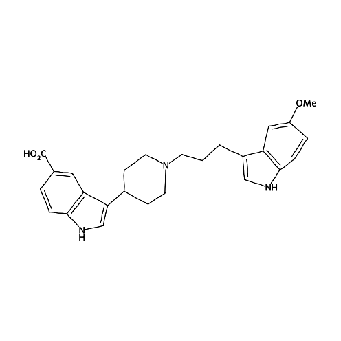 COc1ccc2[nH]cc(CCCN3CCC(c4c[nH]c5ccc(C(=O)O)cc45)CC3)c2c1